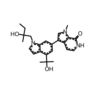 CCC(C)(O)Cn1ccc2c(C(C)(C)O)cc(-c3cn(C)c4c(=O)[nH]ccc34)cc21